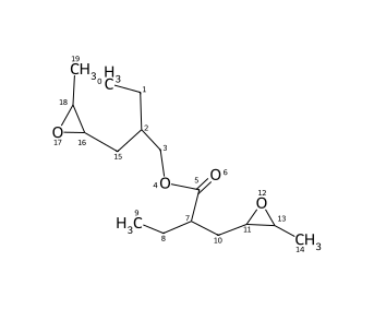 CCC(COC(=O)C(CC)CC1OC1C)CC1OC1C